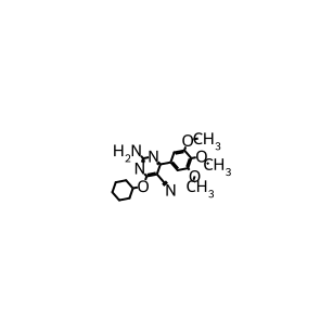 COc1cc(-c2nc(N)nc(OC3CCCCC3)c2C#N)cc(OC)c1OC